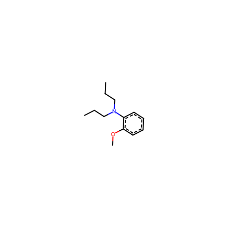 CCCN(CCC)c1ccccc1OC